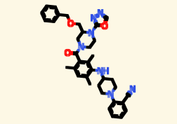 Cc1cc(C)c(C(=O)N2CCN(c3nnco3)C(COCc3ccccc3)C2)c(C)c1NC1CCN(c2ccccc2C#N)CC1